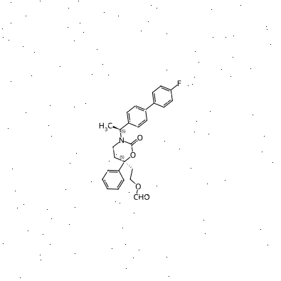 C[C@@H](c1ccc(-c2ccc(F)cc2)cc1)N1CC[C@](CCOC=O)(c2ccccc2)OC1=O